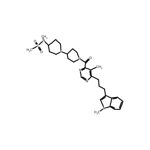 Cc1c(CCCc2cn(C)c3ccccc23)ncnc1C(=O)N1CCC(N2CCC(N(C)S(C)(=O)=O)CC2)CC1